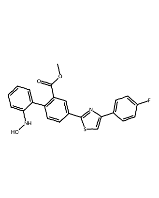 COC(=O)c1cc(-c2nc(-c3ccc(F)cc3)cs2)ccc1-c1ccccc1NO